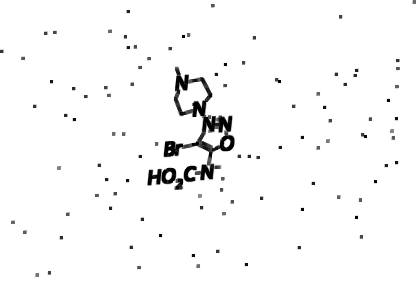 CN1CCN([n+]2noc([N-]C(=O)O)c2Br)CC1